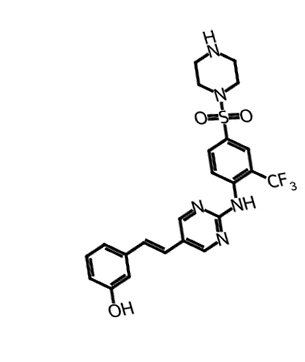 O=S(=O)(c1ccc(Nc2ncc(C=Cc3cccc(O)c3)cn2)c(C(F)(F)F)c1)N1CCNCC1